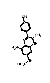 C[C@@H]1Nc2cc(NC(=O)O)nc(N)c2N=C1c1ccc(O)cc1